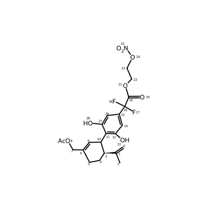 C=C(C)[C@H]1CCC(COC(C)=O)=CC1c1c(O)cc(C(F)(F)C(=O)OCCO[N+](=O)[O-])cc1O